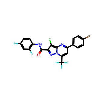 O=C(Nc1ccc(F)cc1F)c1nn2c(C(F)(F)F)cc(-c3ccc(Br)cc3)nc2c1Cl